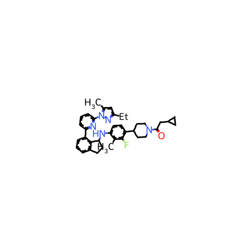 CCc1cc(C)n(-c2cccc(-c3cccc4c3C(Nc3ccc(C5CCN(C(=O)CC6CC6)CC5)c(F)c3C)CC4)n2)n1